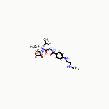 CNCCNc1ccc(C(=O)N[C@@H](CC(C)C)C(=O)N[C@@H]2C(=O)CO[C@@H]2C)cc1